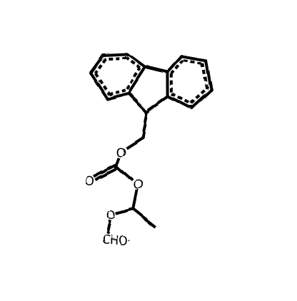 CC(O[C]=O)OC(=O)OCC1c2ccccc2-c2ccccc21